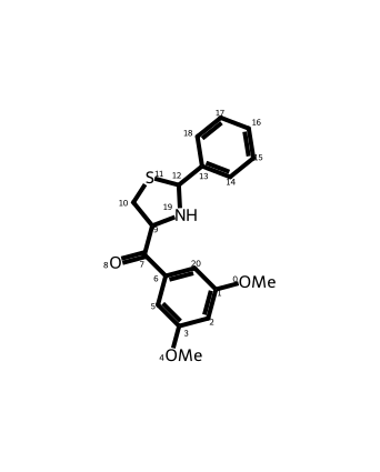 COc1cc(OC)cc(C(=O)C2CSC(c3ccccc3)N2)c1